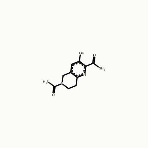 NC(=O)c1nc2c(cc1O)CN(C(N)=O)CC2